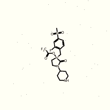 CS(=O)(=O)c1ccc(C[N+]2(OC(=O)C(F)(F)F)CCN(C3CCNCC3)C2=O)c(F)c1